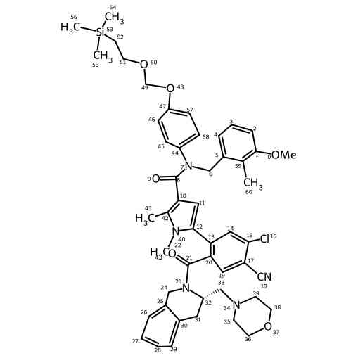 COc1cccc(CN(C(=O)c2cc(-c3cc(Cl)c(C#N)cc3C(=O)N3Cc4ccccc4C[C@H]3CN3CCOCC3)n(C)c2C)c2ccc(OCOCC[Si](C)(C)C)cc2)c1C